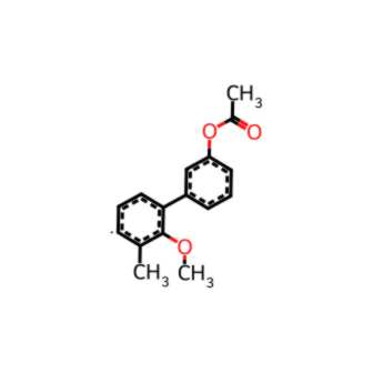 COc1c(C)[c]ccc1-c1cccc(OC(C)=O)c1